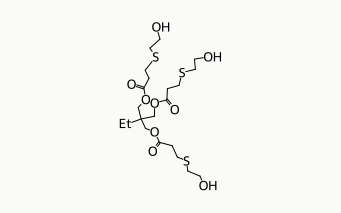 CCC(COC(=O)CCSCCO)(COC(=O)CCSCCO)COC(=O)CCSCCO